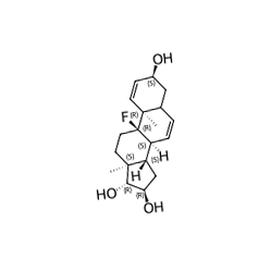 C[C@]12CC[C@@]3(F)[C@@H](C=CC4C[C@H](O)C=C[C@@]43C)[C@@H]1C[C@@H](O)[C@@H]2O